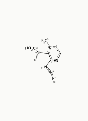 CN(C(=O)O)c1c(C(F)(F)F)ccnc1N=[N+]=[N-]